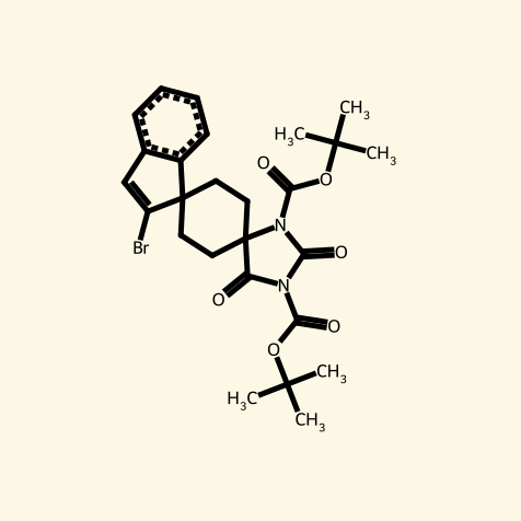 CC(C)(C)OC(=O)N1C(=O)N(C(=O)OC(C)(C)C)C2(CCC3(CC2)C(Br)=Cc2ccccc23)C1=O